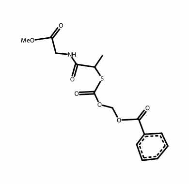 COC(=O)CNC(=O)C(C)SC(=O)OCOC(=O)c1ccccc1